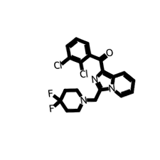 O=C(c1cccc(Cl)c1Cl)c1nc(CN2CCC(F)(F)CC2)n2ccccc12